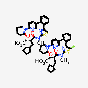 CN(C(=O)[C@@H](CC(=O)O)CC1CCCC1)c1nc(-c2ccccc2-c2ccc(N3CCCCC3=O)nc2)c(F)s1.CN(C(=O)[C@@H](CC(=O)O)CC1CCCC1)c1nc(-c2ccccc2-c2ccc(N3CCCCC3=O)nc2)cs1